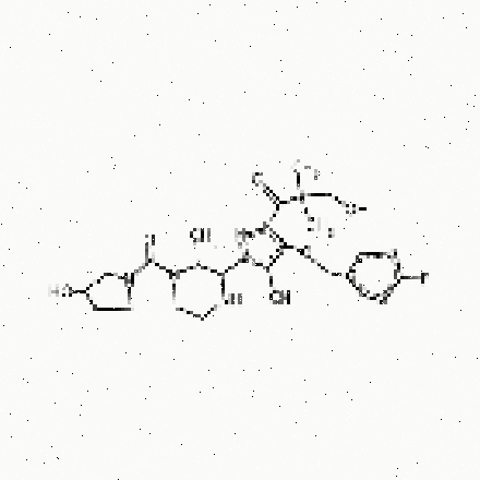 CC1C(c2nn(C(=O)C(C)(C)CO)c(OCc3ccc(F)cc3)c2C#N)NCCN1C(=O)N1CCC(O)C1